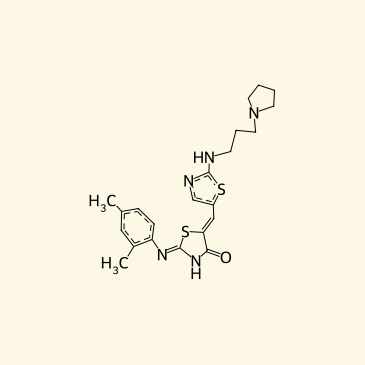 Cc1ccc(/N=C2/NC(=O)/C(=C/c3cnc(NCCCN4CCCC4)s3)S2)c(C)c1